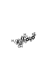 C[C@H](O)C(=O)N1C[C@H](c2nc(-c3ccc(C(=O)Nc4cc(C(F)(F)F)ccn4)cc3F)c3c(N)nccn23)OC[C@H]1CO